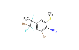 Nc1c(Br)cc(C(F)(C(F)(F)F)C(F)(F)Br)cc1SC(F)(F)F